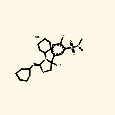 Br.CN(C)S(=O)(=O)c1cc(C2(O)CSC(=NC3CCCCC3)N2C2CCCCC2)ccc1Cl